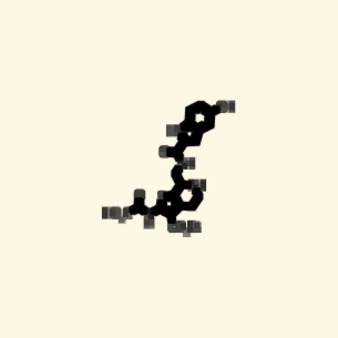 CCOC(=O)c1c(NC(=O)C(=O)O)sc2c1CCNC2CNC(=O)c1cc2cc(O)ccc2[nH]1